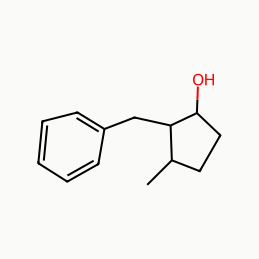 CC1CCC(O)C1Cc1ccccc1